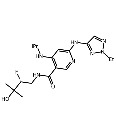 CCn1ncc(Nc2cc(NC(C)C)c(C(=O)NC[C@@H](F)C(C)(C)O)cn2)n1